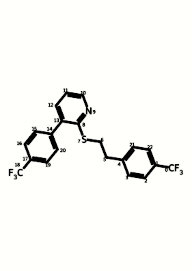 FC(F)(F)c1ccc(CCSc2ncccc2-c2ccc(C(F)(F)F)cc2)cc1